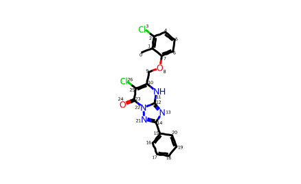 Cc1c(Cl)cccc1OCc1[nH]c2nc(-c3ccccc3)nn2c(=O)c1Cl